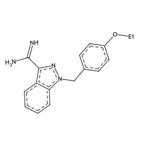 CCOc1ccc(Cn2nc(C(=N)N)c3ccccc32)cc1